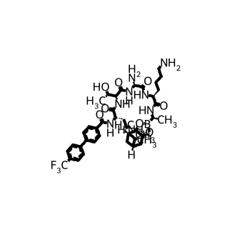 C[C@H](NC(=O)[C@H](CCCCN)NC(=O)[C@H](N)NC(=O)[C@@H](NC(=O)[C@H](CCN)NC(=O)c1ccc(-c2ccc(C(F)(F)F)cc2)cc1)[C@@H](C)O)B1OC2C[C@@H]3C[C@@H](C3(C)C)[C@]2(C)O1